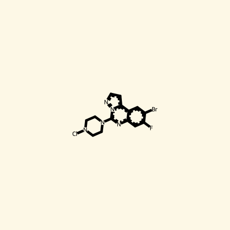 Fc1cc2nc(N3CCN(Cl)CC3)n3nccc3c2cc1Br